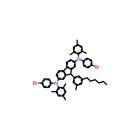 CCCCCCc1cc(C)cc(C2c3cc(N(c4ccc(Br)cc4)c4c(C)cc(C)cc4C)ccc3-c3ccc(N(c4ccc(Br)cc4)c4c(C)cc(C)cc4C)cc32)c1